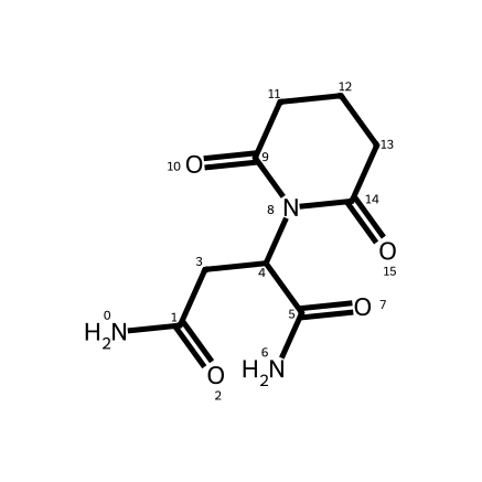 NC(=O)CC(C(N)=O)N1C(=O)CCCC1=O